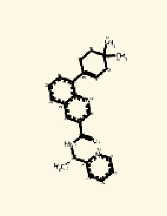 C[C@H](NC(=O)c1cnc2c(C3=CCC(C)(C)CC3)cccc2c1)c1ccccn1